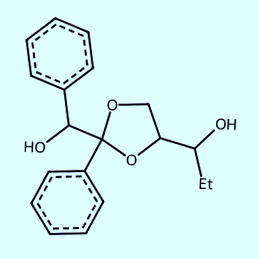 CCC(O)C1COC(c2ccccc2)(C(O)c2ccccc2)O1